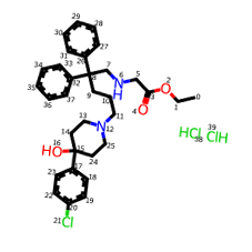 CCOC(=O)CNCC(CCCN1CCC(O)(c2ccc(Cl)cc2)CC1)(c1ccccc1)c1ccccc1.Cl.Cl